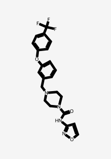 O=C(Nc1ccon1)N1CCN(Cc2cccc(Oc3ccc(C(F)(F)F)cc3)c2)CC1